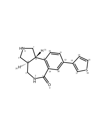 O=C1NC[C@H]2CNC[C@@H]2c2ccc(-c3ccsc3)cc21